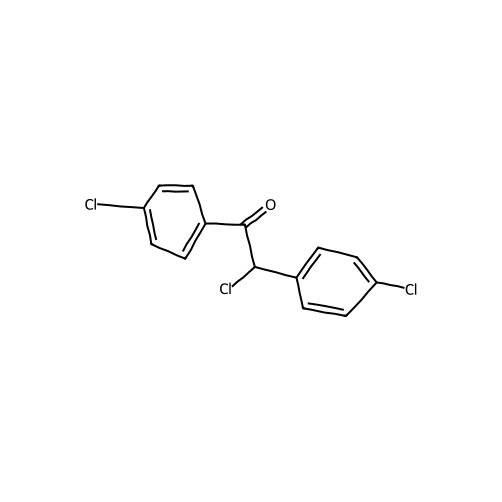 O=C(c1ccc(Cl)cc1)C(Cl)c1ccc(Cl)cc1